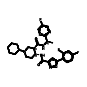 C[C@@H](NC(=O)[C@@H]1CN(C2CCCCC2)CC[C@H]1NC(=O)c1cc(-c2ccc(F)cc2F)on1)c1ncc(F)cn1